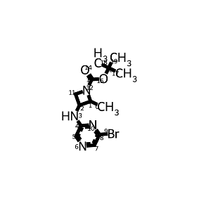 CC1C(Nc2cncc(Br)n2)CN1C(=O)OC(C)(C)C